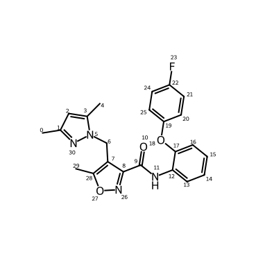 Cc1cc(C)n(Cc2c(C(=O)Nc3ccccc3Oc3ccc(F)cc3)noc2C)n1